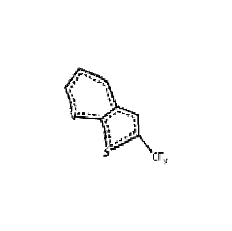 FC(F)(F)c1cc2cccnc2s1